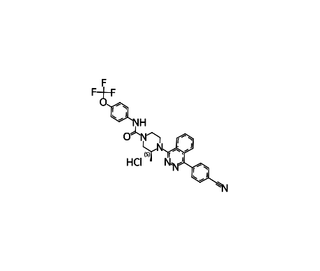 C[C@H]1CN(C(=O)Nc2ccc(OC(F)(F)F)cc2)CCN1c1nnc(-c2ccc(C#N)cc2)c2ccccc12.Cl